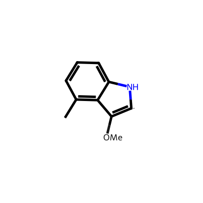 COc1[c][nH]c2cccc(C)c12